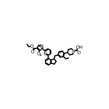 CCOC(=O)c1cnn(-c2cccc(-c3cccc4c3C(Cc3ccc(C5CCN(C(=O)O)CC5)c(CC)c3)CC4)n2)c1OC